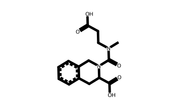 CN(CCC(=O)O)C(=O)N1Cc2ccccc2CC1C(=O)O